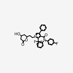 O=C1CC(O)CC(CCn2cc(-c3ccccc3)c(C(=O)N(c3ccccc3)c3ccc(F)cc3)c2C(F)(F)F)O1